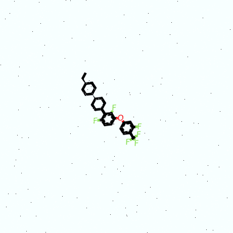 CC[C@H]1CC[C@H](C2CCC(c3c(F)c[c]c(Oc4ccc(C(F)(F)F)c(F)c4)c3F)CC2)CC1